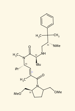 CN[C@H](CN[C@H](C(=O)N(C)[C@H](/C=C(\C)C(=O)N1C(COC)CC[C@H]1COC)C(C)C)C(C)(C)C)C(C)(C)c1ccccc1